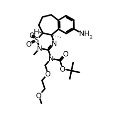 COCCOCN(C(=O)OC(C)(C)C)C1=N[C@]2(C)c3cc(N)ccc3CCC[C@@H]2S(=O)(=O)N1C